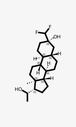 CC(O)[C@H]1CC[C@H]2[C@@H]3CC[C@H]4C[C@](O)(C(F)F)CC[C@@H]4[C@H]3CC[C@]12C